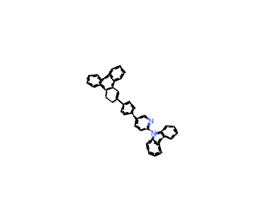 C1=C(c2ccc(-c3ccc(-n4c5ccccc5c5ccccc54)nc3)cc2)CCc2c1c1ccccc1c1ccccc21